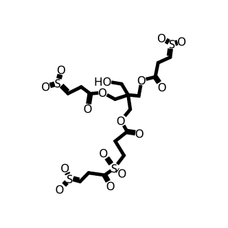 O=C(CC=S(=O)=O)OCC(CO)(COC(=O)CC=S(=O)=O)COC(=O)CCS(=O)(=O)C(=O)CC=S(=O)=O